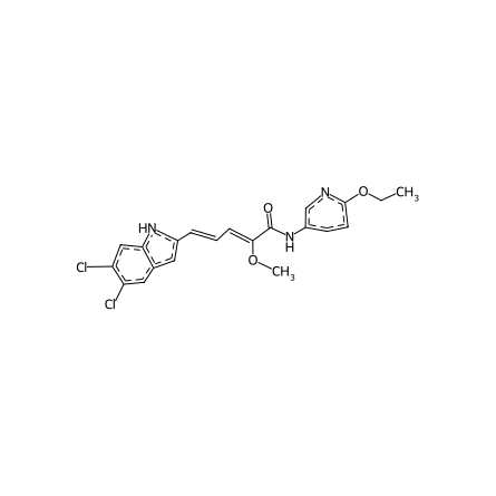 CCOc1ccc(NC(=O)C(=CC=Cc2cc3cc(Cl)c(Cl)cc3[nH]2)OC)cn1